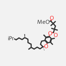 COC(=O)C(C)(C)CC(C)(C)C(=O)Oc1c(C)c(C)c2c(c1C)CC[C@](C)(CCCC(C)CCC[C@H](C)CCCC(C)C)O2